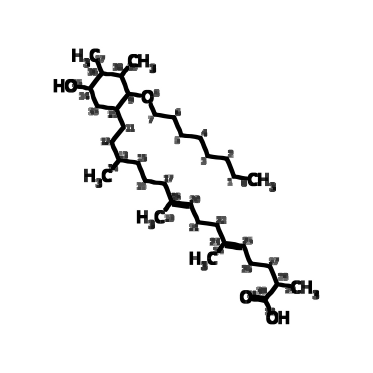 CCCCCCCCOC1C(CCC(C)CCC/C(C)=C/CC/C(C)=C/CCC(C)C(=O)O)CC(O)C(C)C1C